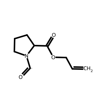 C=CCOC(=O)C1CCCN1[C]=O